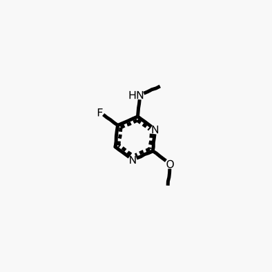 CNc1nc(OC)ncc1F